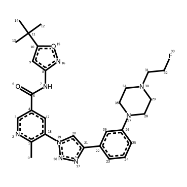 Cc1ncc(C(=O)Nc2cc(C(C)(C)C)on2)cc1-n1cc(-c2cccc(N3CCN(CCF)CC3)c2)nn1